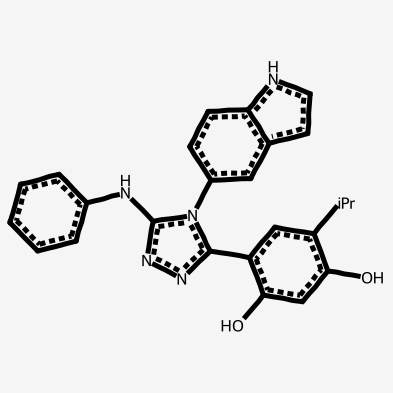 CC(C)c1cc(-c2nnc(Nc3ccccc3)n2-c2ccc3[nH]ccc3c2)c(O)cc1O